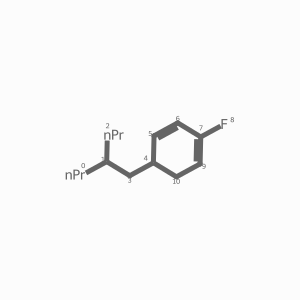 CCCC(CCC)CC1C=CC(F)=CC1